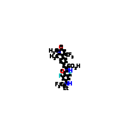 CC[C@@H](Nc1cc(F)c(C(=O)N[C@@H](Cc2ccc(-c3c(C(F)(F)F)cc(=O)n(C)c3C)cc2)C(=O)O)c(F)c1)C(F)(F)F